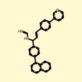 N=CNC(/C=C/c1ccc(-c2cccnc2)cc1)c1ccc(-c2cccc3ccccc23)cc1